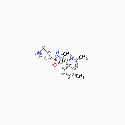 Cc1nc(C(C)(C)NC(=O)C2C3CNCC32)c2cccc(C)c2n1